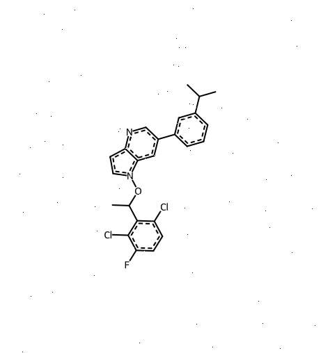 CC(C)c1cccc(-c2cnc3ccn(OC(C)c4c(Cl)ccc(F)c4Cl)c3c2)c1